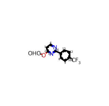 O=COc1ccnc(-c2ccc(C(F)(F)F)cc2)n1